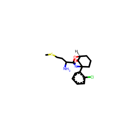 CSCCC(N)C1=NC2(c3ccccc3Cl)CCC[C@H](O1)C2=O